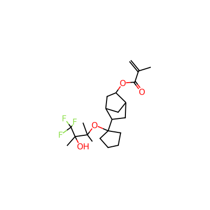 C=C(C)C(=O)OC1CC2CC1CC2C1(OC(C)(C)C(C)(O)C(F)(F)F)CCCC1